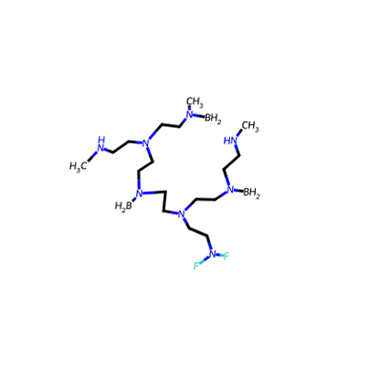 BN(C)CCN(CCNC)CCN(B)CCN(CCN(F)F)CCN(B)CCNC